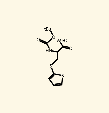 COC(=O)C(CSc1cccs1)NC(=O)OC(C)(C)C